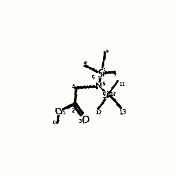 COC(=O)CN([Si](C)(C)C)[Si](C)(C)C